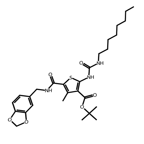 CCCCCCCCNC(=O)Nc1sc(C(=O)NCc2ccc3c(c2)OCO3)c(C)c1C(=O)OC(C)(C)C